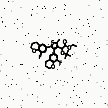 CCOC(=O)C(OC(C)(C)C)c1c(C)sc(-c2cc(F)c3c(c2)CCCO3)c1-c1cc(F)c2c(c1)CCCO2